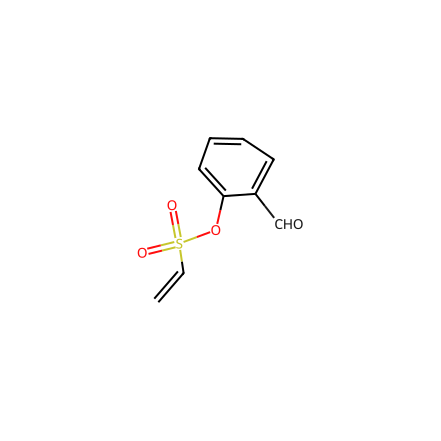 C=CS(=O)(=O)Oc1ccccc1C=O